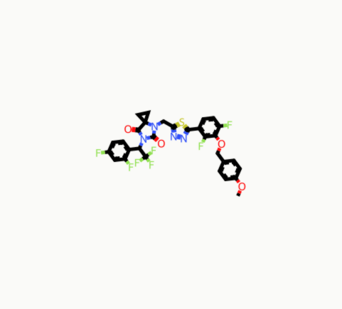 COc1ccc(COc2c(F)ccc(-c3nnc(CN4C(=O)N(C(c5ccc(F)cc5F)C(F)(F)F)C(=O)C45CC5)s3)c2F)cc1